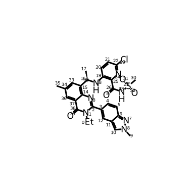 CCn1c(-c2ccc3nn(C)cc3c2)nc2c([C@@H](C)Nc3ccc(Cl)nc3C(=O)NS(C)(=O)=O)cc(C)cc2c1=O